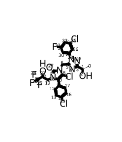 C[C@H](O)c1nc(Cn2c(Cl)c(-c3ccc(Cl)cc3)n(CC(O)C(F)(F)F)c2=O)n(-c2cc(F)cc(Cl)c2)n1